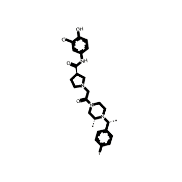 C[C@@H]1CN(C(=O)CN2CC[C@@H](C(=O)Nc3ccc(O)c(Cl)c3)C2)CCN1[C@H](C)c1ccc(I)cc1